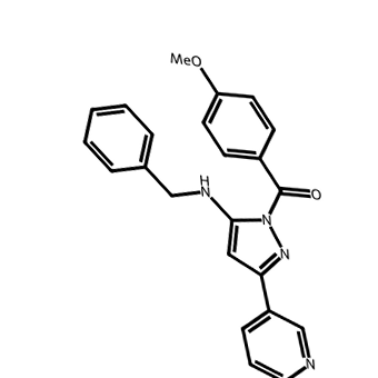 COc1ccc(C(=O)n2nc(-c3cccnc3)cc2NCc2ccccc2)cc1